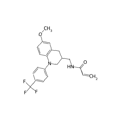 C=CC(=O)NCC1Cc2cc(OC)ccc2N(c2ccc(C(F)(F)F)cc2)C1